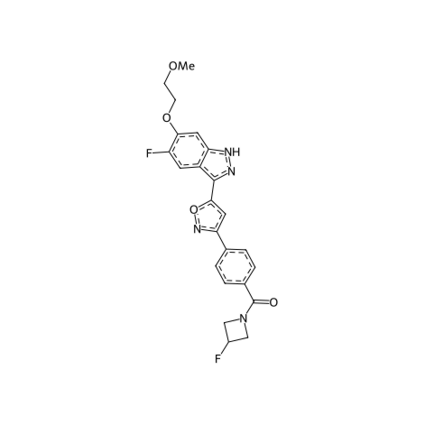 COCCOc1cc2[nH]nc(-c3cc(-c4ccc(C(=O)N5CC(F)C5)cc4)no3)c2cc1F